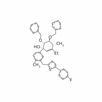 CCC1=C[C@@](O)(c2ccc(C)c(Cc3ccc(-c4ccc(F)cc4)s3)c2)[C@H](OCc2ccccc2)[C@@H](OCc2ccccc2)[C@@H]1C